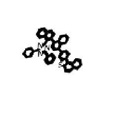 C1=CC(c2nc(-c3ccccc3)nc(-c3c(-c4ccc(-c5ccc6c(c5)sc5ccc7ccccc7c56)c5ccccc45)ccc4ccccc34)n2)=CCC1